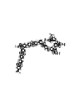 CC(C)Oc1ccc(Oc2ccc(Oc3ccc(Oc4ccc(S(=O)(=O)c5cccc(-c6ccc(S(=O)(=O)c7ccc(-c8ccc(S(=O)(=O)O)c(-c9ccc(S(=O)(=O)c%10ccc(-c%11ccc(S(=O)(=O)c%12ccc(C(C)C)cc%12)cc%11)cc%10)cc9)c8)cc7)cc6)c5)cc4)cc3S(=O)(=O)O)cc2S(=O)(=O)O)cc1S(=O)(=O)O